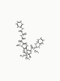 CCCC(NC(=O)[C@@H]1[C@@H]2[C@H](CN1C(=O)[C@@H](C)C1Cc3ccccc3C1)C2(C)C)C(=O)C(=O)NCC(=O)NCc1ccccc1